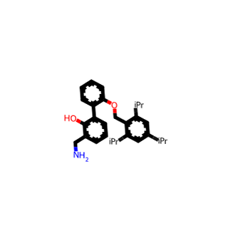 CC(C)c1cc(C(C)C)c(COc2ccccc2-c2cccc(CN)c2O)c(C(C)C)c1